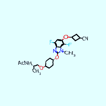 CC(=O)N[C@@H](C)CO[C@H]1CC[C@H](Oc2nc3c(F)cc(OC4CC(C#N)C4)c(F)c3n2C)CC1